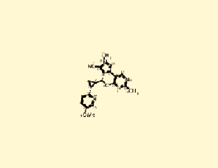 COc1ccc([C@@H]2CC2COc2nc(C)ncc2-c2cc(C#N)n(C)c2)nc1